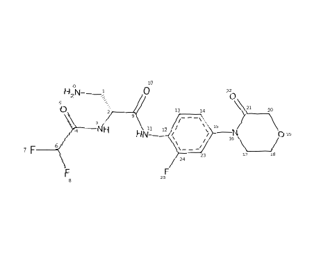 NC[C@@H](NC(=O)C(F)F)C(=O)Nc1ccc(N2CCOCC2=O)cc1F